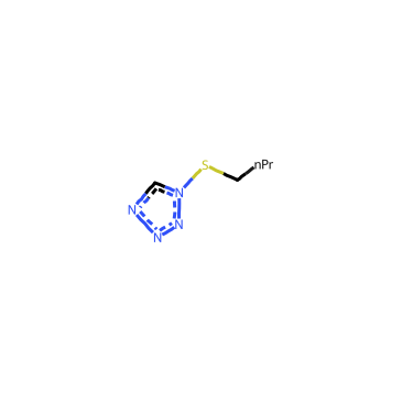 CCCCSn1cnnn1